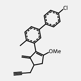 C#CCC1CC(OC)=C(c2cc(-c3ccc(Cl)cc3)ccc2C)C1=C